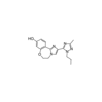 CCCn1nc(C)nc1-c1cn2c(n1)-c1ccc(O)cc1OCC2